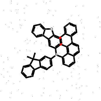 CC1(C)c2ccccc2-c2ccc(N(c3ccc4oc5ccccc5c4c3)c3cccc4ccc5c6ccccc6ccc5c34)cc21